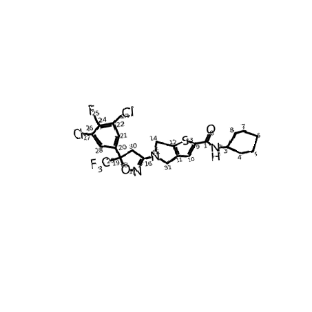 O=C(NC1CCCCC1)c1cc2c(s1)CN(C1=NOC(c3cc(Cl)c(F)c(Cl)c3)(C(F)(F)F)C1)C2